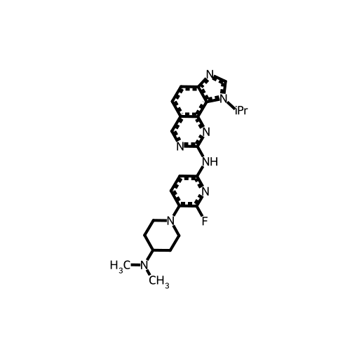 CC(C)n1cnc2ccc3cnc(Nc4ccc(N5CCC(N(C)C)CC5)c(F)n4)nc3c21